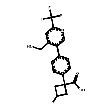 O=C(O)C1(c2ccc(-c3cnc(C(F)(F)F)cc3CO)cc2)CC(F)C1